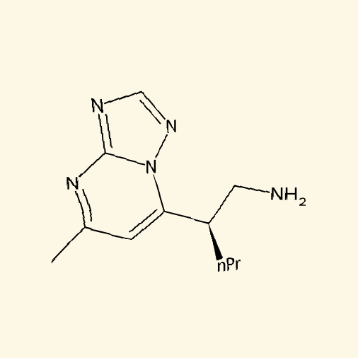 CCC[C@H](CN)c1cc(C)nc2ncnn12